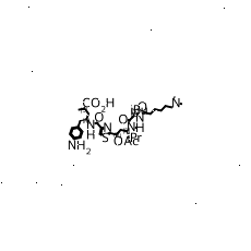 CC[C@H](C)[C@H](NC(=O)CCCCCN(C)C)C(=O)N(C)[C@H](C[C@@H](OC(C)=O)c1nc(C(=O)N[C@@H](Cc2ccc(N)cc2)C[C@H](C)C(=O)O)cs1)C(C)C